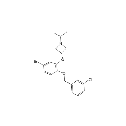 CC(C)N1CC(Oc2cc(Br)ccc2OCc2cccc(Cl)c2)C1